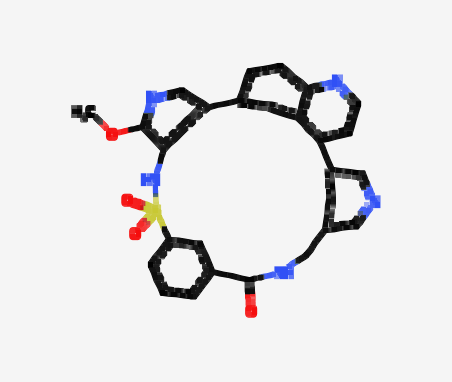 COc1ncc2cc1NS(=O)(=O)c1cccc(c1)C(=O)NCc1cncc(c1)-c1ccnc3ccc-2cc13